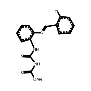 COC(=O)NC(=S)Nc1ccccc1N=Cc1ccccc1Cl